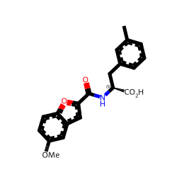 COc1ccc2oc(C(=O)N[C@@H](Cc3cccc(C)c3)C(=O)O)cc2c1